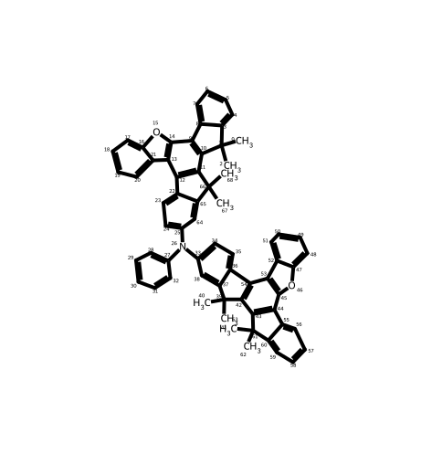 CC1(C)c2ccccc2-c2c1c1c(c3c2oc2ccccc23)-c2ccc(N(c3ccccc3)c3ccc4c(c3)C(C)(C)c3c5c(c6oc7ccccc7c6c3-4)-c3ccccc3C5(C)C)cc2C1(C)C